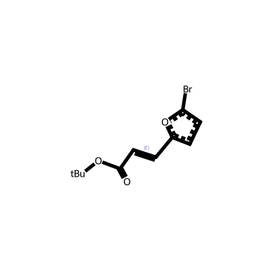 CC(C)(C)OC(=O)/C=C/c1ccc(Br)o1